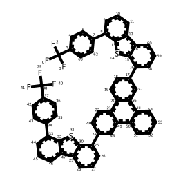 FC(F)(F)c1ccc(-c2cccc3c2sc2c(-c4ccc5c6ccc(-c7cccc8c7sc7c(-c9ccc(C(F)(F)F)cc9)cccc78)cc6c6ccccc6c5c4)cccc23)cc1